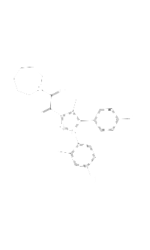 Cc1c(C(=O)C(=O)N2CCCCCC2)nn(-c2ccc(Cl)cc2Cl)c1-c1ccc(Cl)cc1